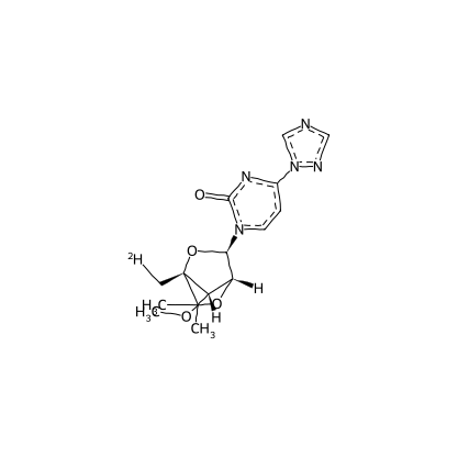 [2H]C[C@]12O[C@@H](n3ccc(-n4cncn4)nc3=O)[C@H](OC1(C)C)[C@@H]2OC